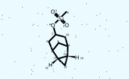 CS(=O)(=O)OC1CC2CC(C1)[C@@H]1C[C@H]21